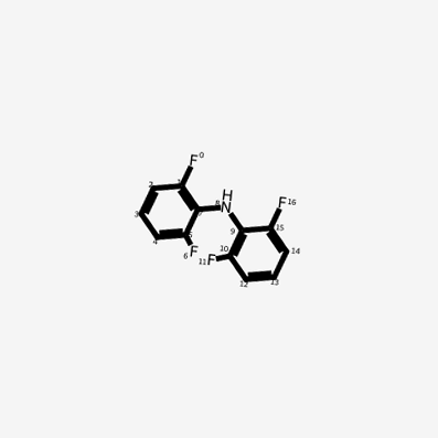 Fc1cccc(F)c1Nc1c(F)cccc1F